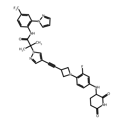 CC(C)(C(=O)Nc1ccc(C(F)(F)F)cc1-n1cccn1)n1cc(C#CC2CN(c3ccc(NC4CCC(=O)NC4=O)cc3F)C2)cn1